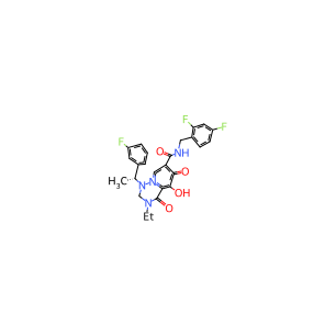 CCN1CN([C@H](C)c2cccc(F)c2)n2cc(C(=O)NCc3ccc(F)cc3F)c(=O)c(O)c2C1=O